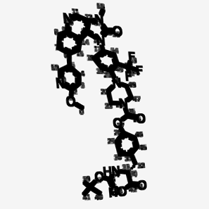 COc1ccc(-c2ccc3ncc4c(c3c2)n(-c2ccc(N3CCN(C(=O)Oc5ccc(C[C@@H](NC(=O)OC(C)(C)C)C(=O)O)cc5)CC3)c(C(F)(F)F)c2)c(=O)n4C)cn1